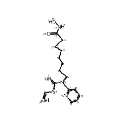 N=CSC(=N)N(CCCCCCCC(=O)NO)c1ccccn1